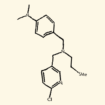 CSCCN(Cc1ccc(N(C)C)cc1)Cc1ccc(Cl)nc1